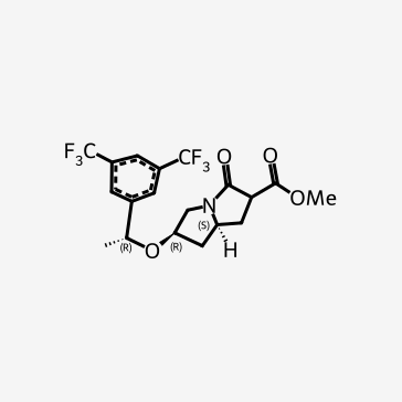 COC(=O)C1C[C@H]2C[C@@H](O[C@H](C)c3cc(C(F)(F)F)cc(C(F)(F)F)c3)CN2C1=O